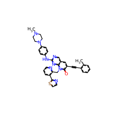 Cc1ccccc1C#Cc1cc2cnc(Nc3ccc(N4CCN(C)CC4)cc3)nc2n(Cc2ncccc2-c2nccs2)c1=O